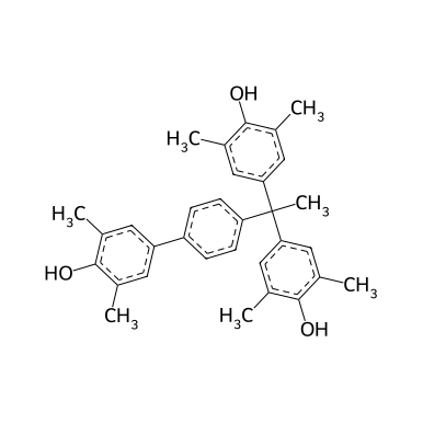 Cc1cc(-c2ccc(C(C)(c3cc(C)c(O)c(C)c3)c3cc(C)c(O)c(C)c3)cc2)cc(C)c1O